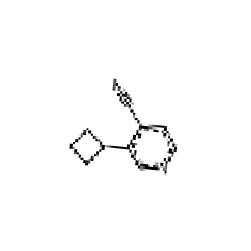 N#Cc1ccn[c]c1C1CCC1